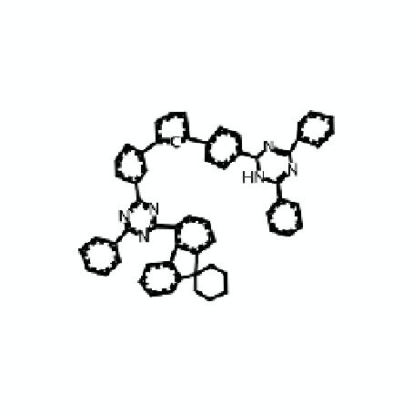 c1ccc(C2=NC(c3ccc(-c4cccc(-c5cccc(-c6nc(-c7ccccc7)nc(-c7cccc8c7-c7ccccc7C87CCCCC7)n6)c5)c4)cc3)NC(c3ccccc3)=N2)cc1